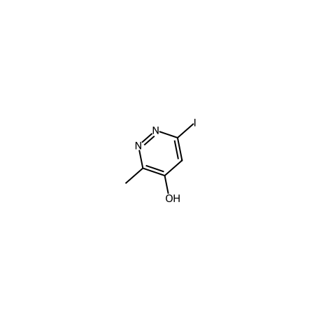 Cc1nnc(I)cc1O